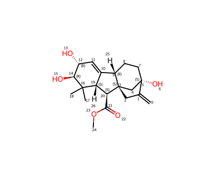 C=C1C[C@]23C[C@@]1(O)CC[C@H]2C1=C[C@@H](O)[C@H](O)C(C)(C)[C@H]1[C@@H]3C(=O)OC